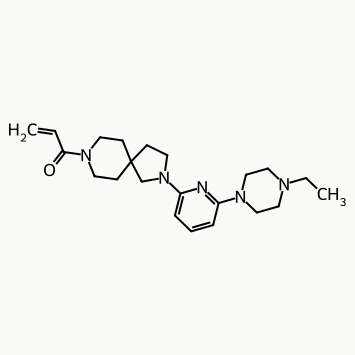 C=CC(=O)N1CCC2(CC1)CCN(c1cccc(N3CCN(CC)CC3)n1)C2